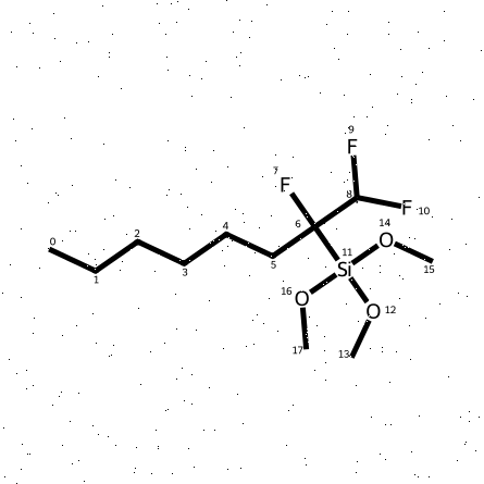 CCCCCCC(F)([C](F)F)[Si](OC)(OC)OC